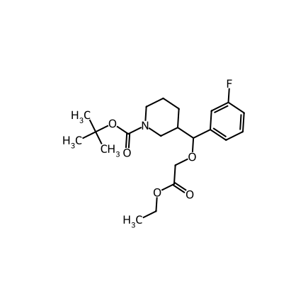 CCOC(=O)COC(c1cccc(F)c1)C1CCCN(C(=O)OC(C)(C)C)C1